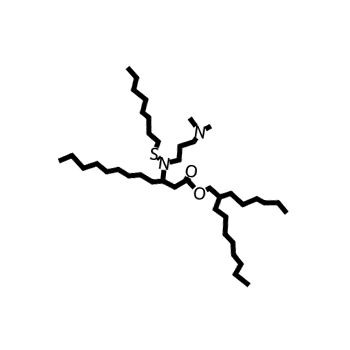 CCCCCCCCCC(CC(=O)OCC(CCCCCC)CCCCCCCC)N(CCCN(C)C)SCCCCCCCC